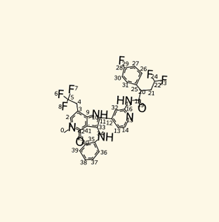 Cn1cc(CC(F)(F)F)c2[nH]c(-c3ccnc(NC(=O)C(CC(F)F)c4ccc(F)cc4)c3)c(Nc3ccccc3)c2c1=O